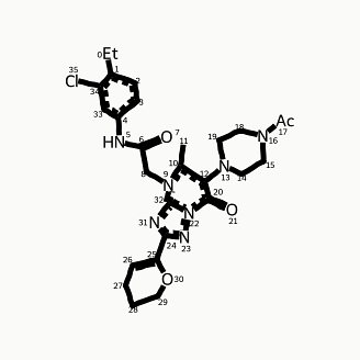 CCc1ccc(NC(=O)Cn2c(C)c(N3CCN(C(C)=O)CC3)c(=O)n3nc(C4=CCCCO4)nc23)cc1Cl